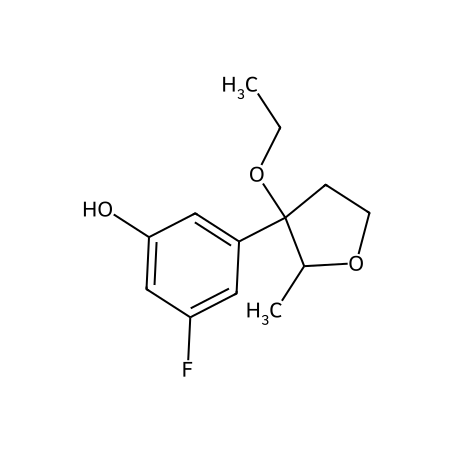 CCOC1(c2cc(O)cc(F)c2)CCOC1C